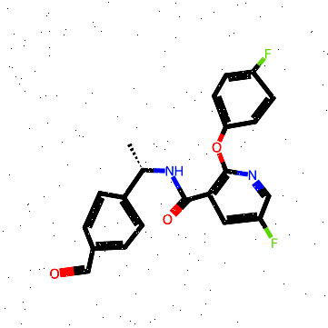 C[C@H](NC(=O)c1cc(F)cnc1Oc1ccc(F)cc1)c1ccc(C=O)cc1